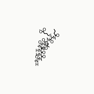 CCCC(=O)N(C)[C@H](SCCCC(=O)OC)C(=O)N(C)[C@@H](CC(C)(C)O)C(=O)NC(=O)N(C)C(=O)NC(=O)NC(=O)N(C)C(=O)NC